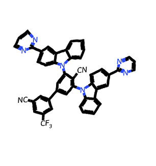 N#Cc1cc(-c2cc(-n3c4ccccc4c4cc(-c5ncccn5)ccc43)c(C#N)c(-n3c4ccccc4c4cc(-c5ncccn5)ccc43)c2)cc(C(F)(F)F)c1